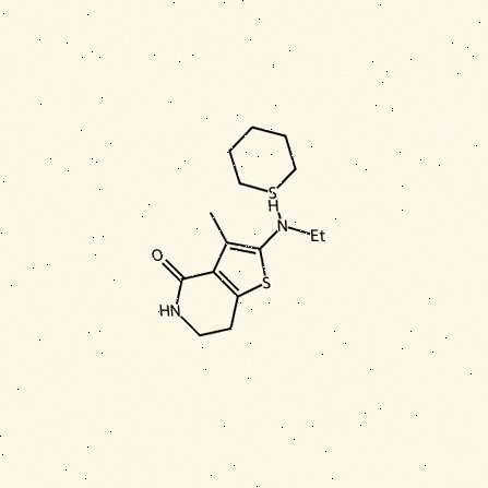 CCN(c1sc2c(c1C)C(=O)NCC2)[SH]1CCCCC1